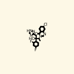 CC(n1cnc2cc(Cl)ccc2c1=O)C(O)(Cc1nc[nH]n1)c1ccc(F)cc1F